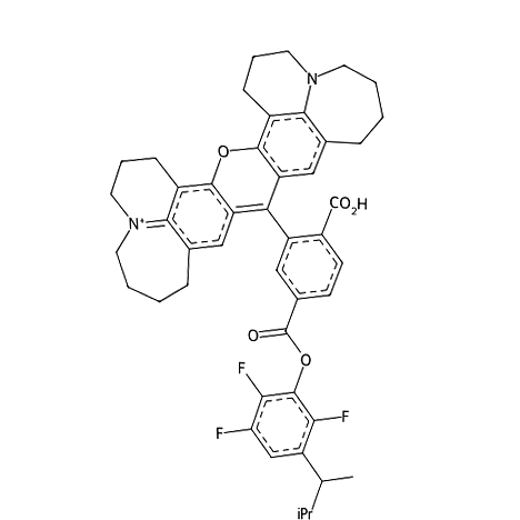 CC(C)C(C)c1cc(F)c(F)c(OC(=O)c2ccc(C(=O)O)c(C3=c4cc5c6c(c4Oc4c3cc3c7c4CCCN7CCCC3)CCC[N+]=6CCCC5)c2)c1F